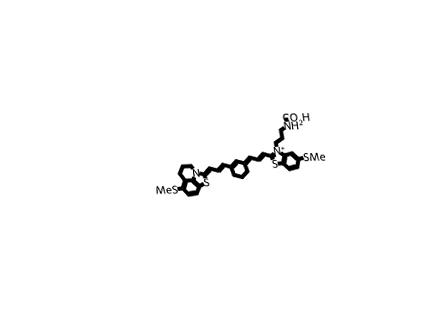 CSc1ccc2sc(/C=C/C=C3C=C(/C=C/C=C4\Sc5ccc(SC)c6c5N4CCC6)CCC/3)[n+](CCCNC(=O)O)c2c1